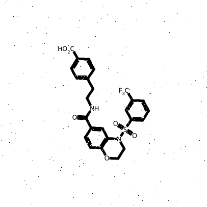 O=C(O)c1ccc(CCNC(=O)c2ccc3c(c2)N(S(=O)(=O)c2cccc(C(F)(F)F)c2)CCO3)cc1